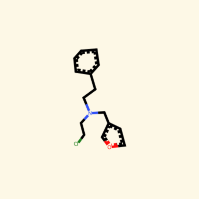 ClCCN(CCc1ccccc1)Cc1ccoc1